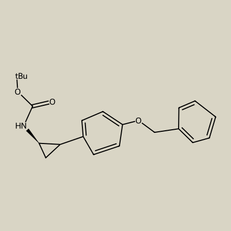 CC(C)(C)OC(=O)N[C@@H]1CC1c1ccc(OCc2ccccc2)cc1